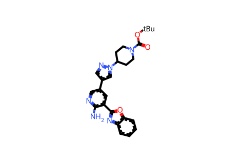 CC(C)(C)OC(=O)N1CCC(n2cc(-c3cnc(N)c(-c4nc5ccccc5o4)c3)cn2)CC1